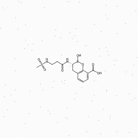 CS(=O)(=O)NCCC(=O)N[C@H]1Cc2cccc(C(=O)O)c2OB1O